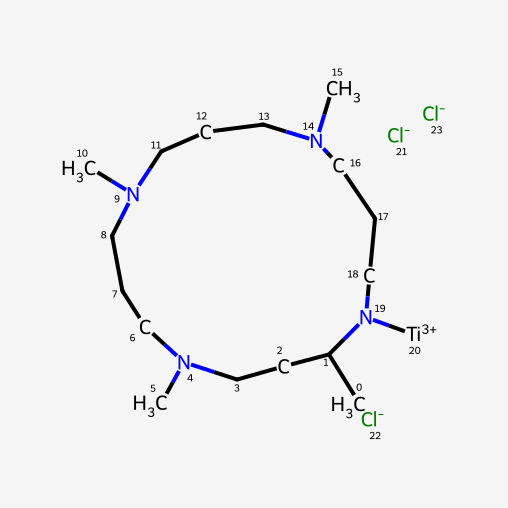 CC1CCN(C)CCCN(C)CCCN(C)CCC[N]1[Ti+3].[Cl-].[Cl-].[Cl-]